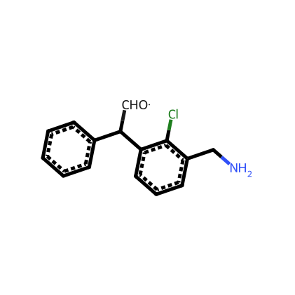 NCc1cccc(C([C]=O)c2ccccc2)c1Cl